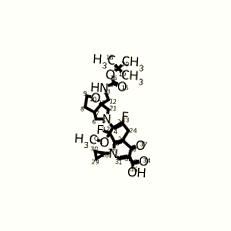 COC1(F)C(N2CC3CCOC3(CNC(=O)OC(C)(C)C)C2)=C(F)Cc2c1n(C1CC1)cc(C(=O)O)c2=O